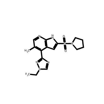 Cc1cnc2[nH]c(S(=O)(=O)N3CCCC3)cc2c1-c1ncn(CC(F)(F)F)n1